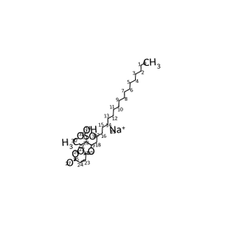 CCCCCCCCCCCCCCCCCCCC(OC(=O)/C=C\C(=O)[O-])C(CC)S(=O)(=O)O.[Na+]